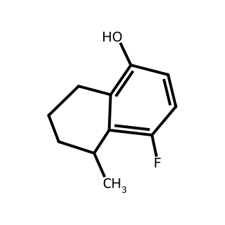 CC1CCCc2c(O)ccc(F)c21